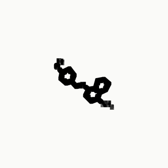 CCOc1ccc(/C=N/c2ccc(N)c3ccccc23)cc1